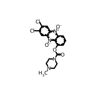 CN1CCN(C(=O)Oc2cccc3c2[n+]([O-])c2cc(Cl)c(Cl)cc2[n+]3[O-])CC1